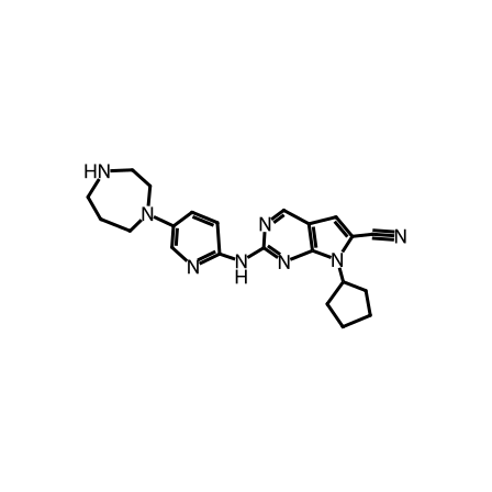 N#Cc1cc2cnc(Nc3ccc(N4CCCNCC4)cn3)nc2n1C1CCCC1